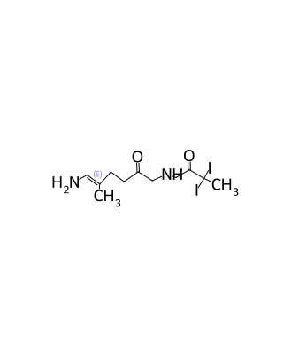 C/C(=C\N)CCC(=O)CNCC(=O)C(C)(I)I